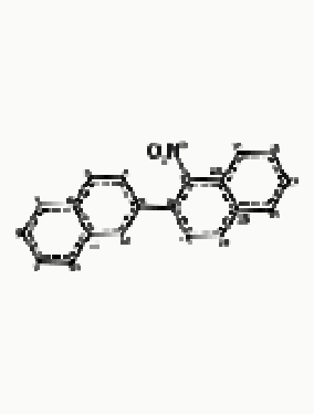 O=[N+]([O-])c1c(-c2ccc3ccccc3c2)ccc2ccccc12